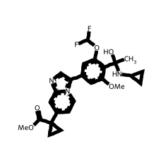 COC(=O)C1(c2ccn3c(-c4cc(OC)c(C(C)(O)NC5CC5)c(OC(F)F)c4)cnc3c2)CC1